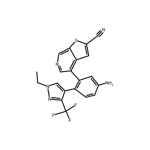 CCn1cc(-c2ccc(N)cc2-c2cncc3sc(C#N)cc23)c(C(F)(F)F)n1